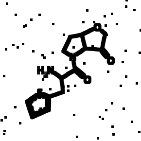 NC(Cc1cccs1)C(=O)N1CCC2OCC(=O)C21